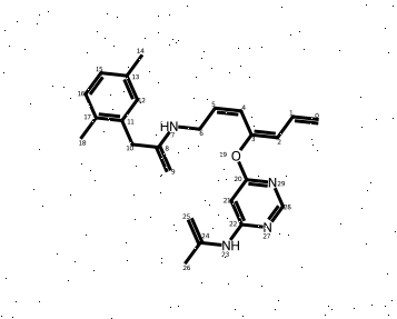 C=C/C=C(\C=C/CNC(=C)Cc1cc(C)ccc1C)Oc1cc(NC(=C)C)ncn1